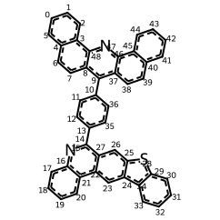 c1ccc2c(c1)ccc1c(-c3ccc(-c4nc5ccccc5c5cc6c(cc45)sc4ccccc46)cc3)c3ccc4ccccc4c3nc12